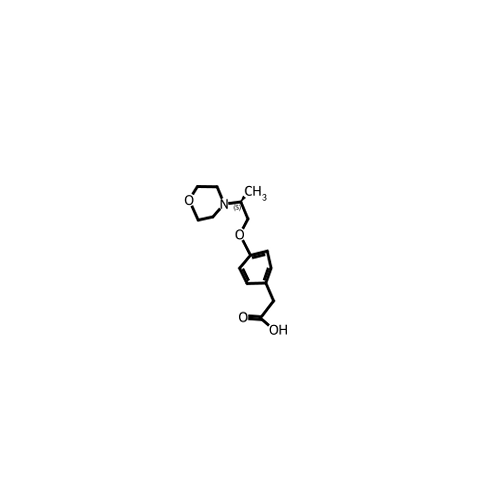 C[C@@H](COc1ccc(CC(=O)O)cc1)N1CCOCC1